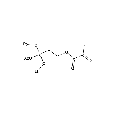 C=C(C)C(=O)OCC[Si](OCC)(OCC)OC(C)=O